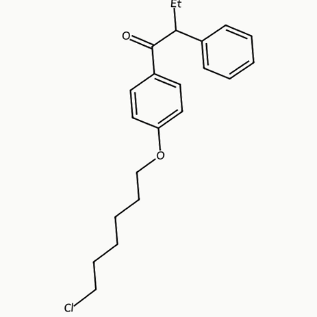 CCC(C(=O)c1ccc(OCCCCCCCl)cc1)c1ccccc1